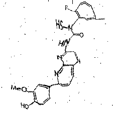 COc1cc(-c2ccc3ncc(NC(=O)N(S)c4cc(C)ccc4F)nc3n2)ccc1O